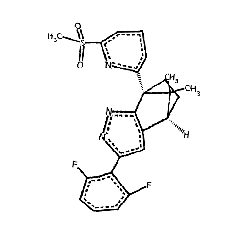 CC1(C)[C@H]2CC[C@]1(c1cccc(S(C)(=O)=O)n1)c1nnc(-c3c(F)cccc3F)cc12